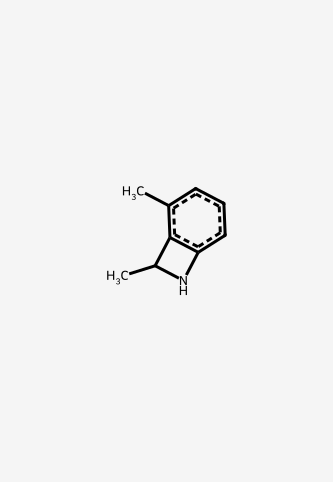 Cc1cccc2c1C(C)N2